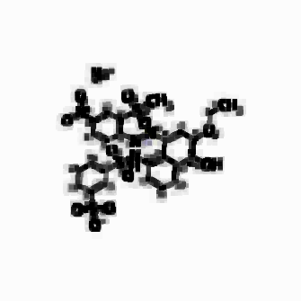 CCOc1cc(/N=N/c2ccc([N+](=O)[O-])cc2S(C)(=O)=O)c2c(NS(=O)(=O)c3cccc(S(=O)(=O)[O-])c3)cccc2c1O.[Na+]